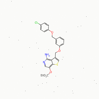 CCOC(=O)Oc1cnc(N)c2c(COc3cccc(COc4ccc(Cl)cc4)c3)csc12